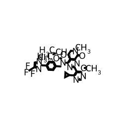 COc1ncnc(C2CC2)c1-c1nc2c(c(N(Cc3ccc(-c4nc(C(F)(F)F)cn4C)cc3)C(=O)OC(C)(C)C)n1)CCN(C)C2=O